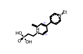 C=C/C=C(\C=C/NCCP(=O)(O)O)c1cc[n+](CC)cc1